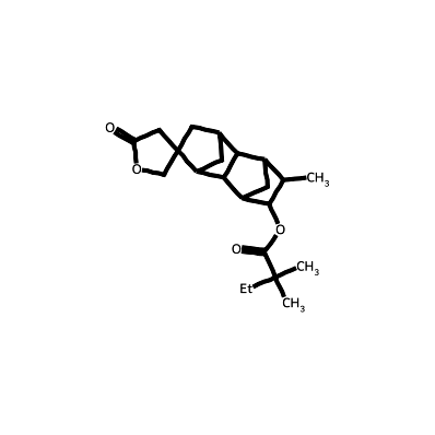 CCC(C)(C)C(=O)OC1C(C)C2CC1C1C2C2CC1C1(COC(=O)C1)C2